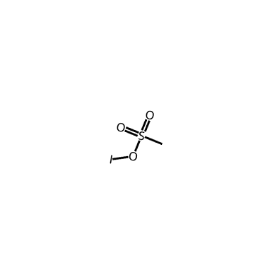 CS(=O)(=O)OI